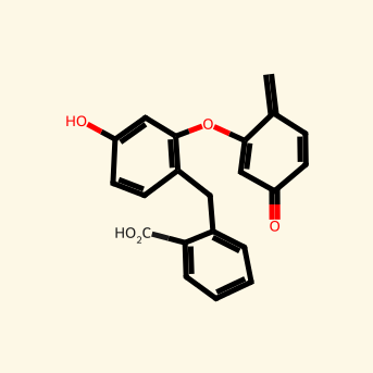 C=C1C=CC(=O)C=C1Oc1cc(O)ccc1Cc1ccccc1C(=O)O